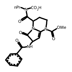 CCCN(C(=O)O)C(=O)C1CCN(C(=O)OC)C2=CC(NC(=O)c3ccccc3)C(=O)N21